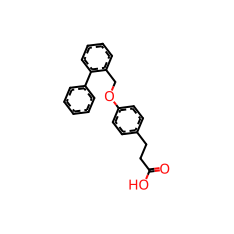 O=C(O)CCc1ccc(OCc2ccccc2-c2ccccc2)cc1